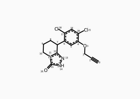 C#CCOc1cc(C2CCCn3c2n[nH]c3=O)c(Cl)cc1Cl